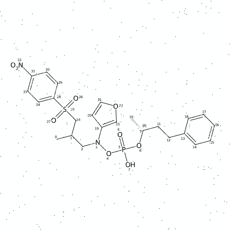 CC(CN(OP(=O)(O)O[C@H](C)[CH]Cc1ccccc1)c1ccoc1)CS(=O)(=O)c1ccc([N+](=O)[O-])cc1